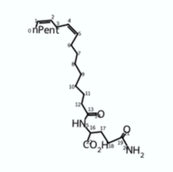 CCCCC/C=C\C/C=C\CCCCCCCC(=O)NC(CCC(N)=O)C(=O)O